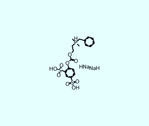 C[PH](C)(CCOC(=O)Oc1ccc(S(=O)(=O)O)cc1S(=O)(=O)O)Cc1ccccc1.[NaH].[NaH]